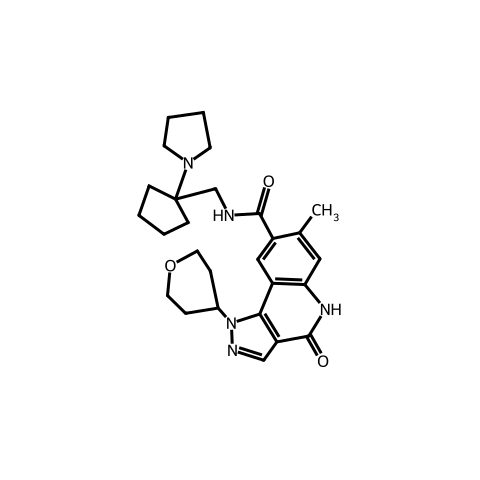 Cc1cc2[nH]c(=O)c3cnn(C4CCOCC4)c3c2cc1C(=O)NCC1(N2CCCC2)CCCC1